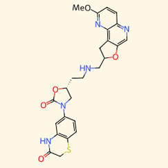 COc1ccc2ncc3c(c2n1)CC(CNCC[C@@H]1CN(c2ccc4c(c2)NC(=O)CS4)C(=O)O1)O3